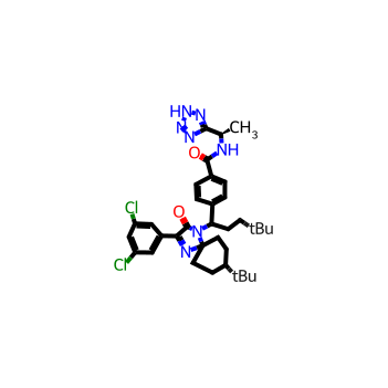 C[C@@H](NC(=O)c1ccc(C(CCC(C)(C)C)N2C(=O)C(c3cc(Cl)cc(Cl)c3)=NC23CCC(C(C)(C)C)CC3)cc1)c1nn[nH]n1